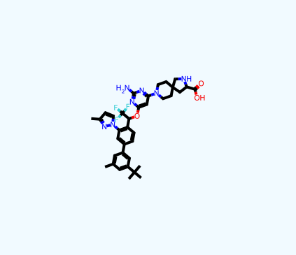 Cc1cc(-c2ccc(C(Oc3cc(N4CCC5(CC4)CNC(C(=O)O)C5)nc(N)n3)C(F)(F)F)c(-n3ccc(C)n3)c2)cc(C(C)(C)C)c1